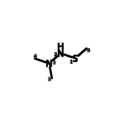 CSNN(C)C